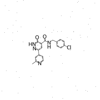 Cc1cc(-c2cc(C(=O)NCc3ccc(Cl)cc3)c(=O)[nH]n2)ccn1